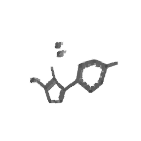 CC1=[C]([Zr+2])CC=C1c1ccc(C)cc1.[Cl-].[Cl-]